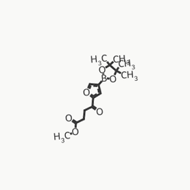 COC(=O)CCC(=O)c1cc(B2OC(C)(C)C(C)(C)O2)co1